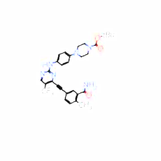 Cc1ccc(C#Cc2nc(Nc3ccc(N4CCN(C(=O)OC(C)(C)C)CC4)cc3)ncc2C(F)(F)F)cc1C(N)=O